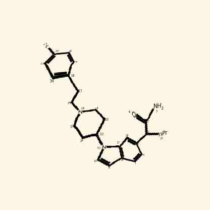 CCCC(C(N)=O)c1ccc2ccn(C3CCN(CCc4ccc(F)cc4)CC3)c2c1